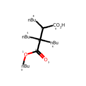 CCCCOC(=O)C(CCCC)(CCCC)C(CCCC)C(=O)O